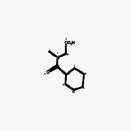 CN([CH]C(=O)O)C(=O)C1CCCCC1